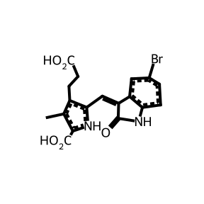 Cc1c(C(=O)O)[nH]c(C=C2C(=O)Nc3ccc(Br)cc32)c1CCC(=O)O